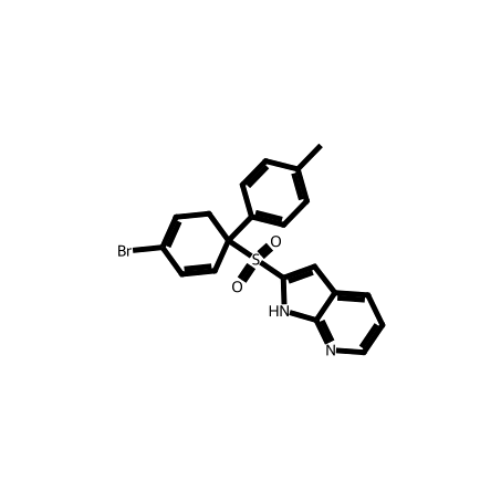 Cc1ccc(C2(S(=O)(=O)c3cc4cccnc4[nH]3)C=CC(Br)=CC2)cc1